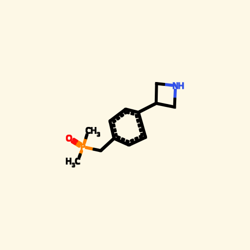 CP(C)(=O)Cc1ccc(C2CNC2)cc1